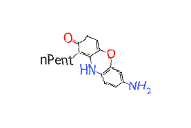 CCCCCC1=C2Nc3ccc(N)cc3OC2=CCC1=O